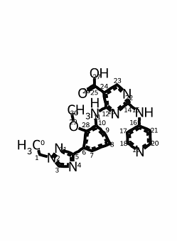 CCn1cnc(-c2cccc(Nc3nc(Nc4ccncc4)ncc3C(=O)O)c2OC)n1